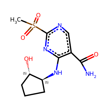 CS(=O)(=O)c1ncc(C(N)=O)c(N[C@H]2CCC[C@@H]2O)n1